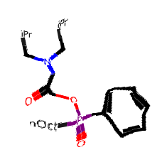 CCCCCCCCP(=O)(OC(=O)N(CC(C)C)CC(C)C)c1ccccc1